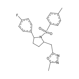 Cc1ccc(S(=O)(=O)N2C(Cc3nnc(C)o3)CCC2c2ccc(F)cc2)cc1